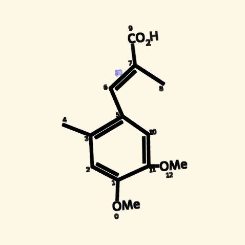 COc1cc(C)c(/C=C(\C)C(=O)O)cc1OC